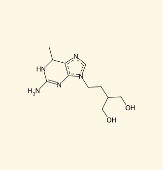 CC1NC(N)=Nc2c1ncn2CCC(CO)CO